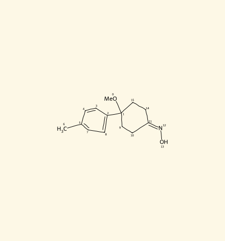 COC1(c2ccc(C)cc2)CCC(=NO)CC1